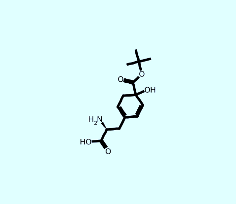 CC(C)(C)OC(=O)C1(O)C=CC(C[C@H](N)C(=O)O)=CC1